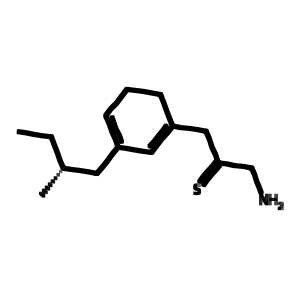 CC[C@@H](C)CC1=CCCC(CC(=S)CN)=C1